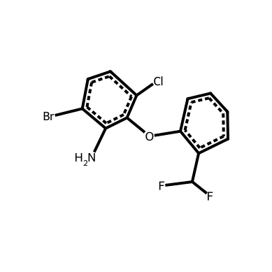 Nc1c(Br)ccc(Cl)c1Oc1ccccc1C(F)F